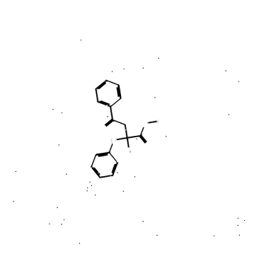 CC(C)OC(=O)C(CC(=O)c1ccccc1)(Nc1ccccc1)C(C)C